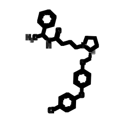 CC(NC(=O)CCCN1CCC[C@@H]1COc1ccc(Oc2ccc(Cl)cc2)cc1)c1ccccc1